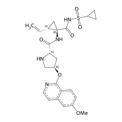 C=C[C@@H]1C[C@]1(NC(=O)[C@@H]1C[C@@H](Oc2nccc3cc(OC)ccc23)CN1)C(=O)NS(=O)(=O)C1CC1